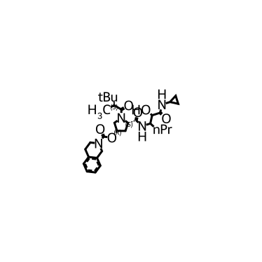 CCCC(NC(=O)[C@@H]1C[C@@H](OC(=O)N2CCc3ccccc3C2)CN1C(=O)[C@@H](C)C(C)(C)C)C(O)C(=O)NC1CC1